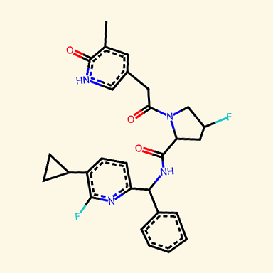 Cc1cc(CC(=O)N2CC(F)CC2C(=O)NC(c2ccccc2)c2ccc(C3CC3)c(F)n2)c[nH]c1=O